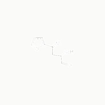 O=CC([SeH])CC(=O)c1ccco1